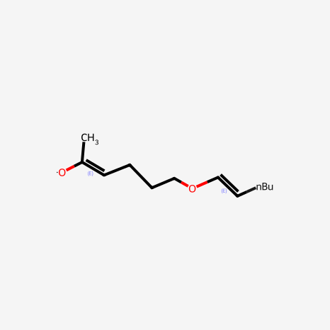 CCCC/C=C/OCCC/C=C(\C)[O]